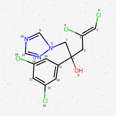 OC(CC(Cl)=CCl)(Cn1cncn1)c1cc(Cl)cc(Cl)c1